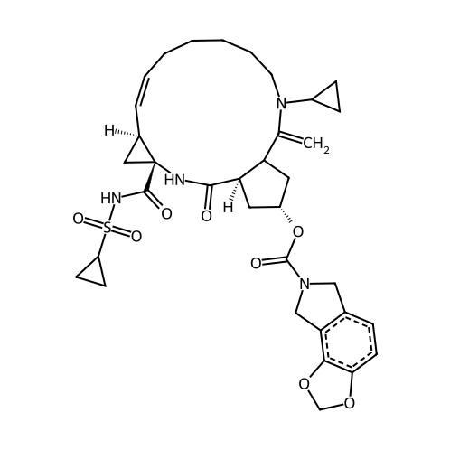 C=C1C2C[C@H](OC(=O)N3Cc4ccc5c(c4C3)OCO5)C[C@H]2C(=O)N[C@]2(C(=O)NS(=O)(=O)C3CC3)C[C@H]2/C=C\CCCCCN1C1CC1